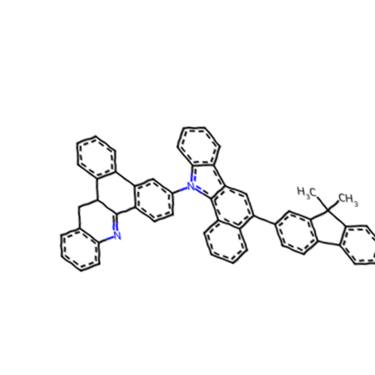 CC1(C)c2ccccc2-c2ccc(-c3cc4c5ccccc5n(-c5ccc6c(c5)-c5ccccc5C5Cc7ccccc7N=C65)c4c4ccccc34)cc21